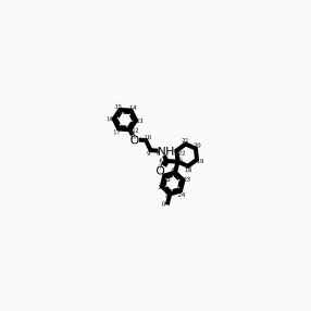 Cc1ccc(C2(C(=O)NCCOc3ccccc3)CCCCC2)cc1